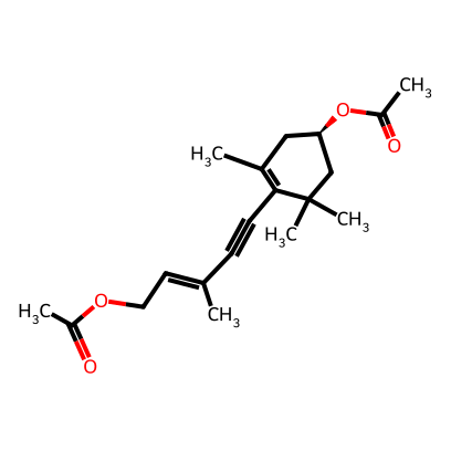 CC(=O)OC/C=C(\C)C#CC1=C(C)C[C@@H](OC(C)=O)CC1(C)C